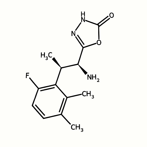 Cc1ccc(F)c([C@@H](C)[C@H](N)c2n[nH]c(=O)o2)c1C